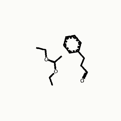 CCOC(C)OCC.O=CCCc1ccccc1